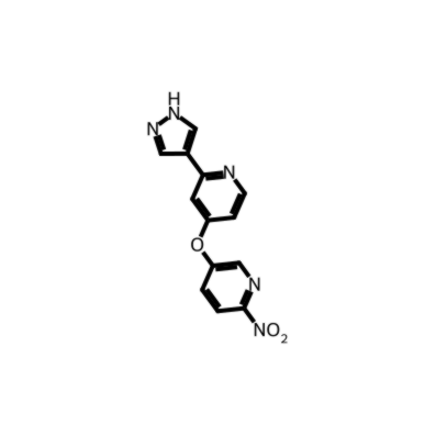 O=[N+]([O-])c1ccc(Oc2ccnc(-c3cn[nH]c3)c2)cn1